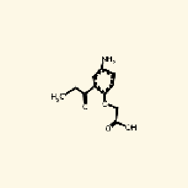 CCC(=O)c1cc(N)ccc1OCC(=O)O